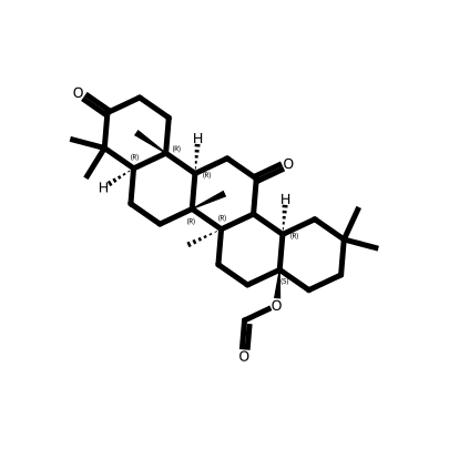 CC1(C)CC[C@]2(OC=O)CC[C@]3(C)C(C(=O)C[C@@H]4[C@@]5(C)CCC(=O)C(C)(C)[C@@H]5CC[C@]43C)[C@H]2C1